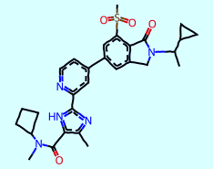 Cc1nc(-c2cc(-c3cc4c(c(S(C)(=O)=O)c3)C(=O)N(C(C)C3CC3)C4)ccn2)[nH]c1C(=O)N(C)C1CCC1